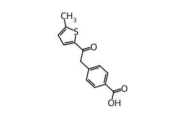 Cc1ccc(C(=O)Cc2ccc(C(=O)O)cc2)s1